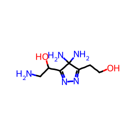 NCC(O)C1=NN=C(CCO)C1(N)N